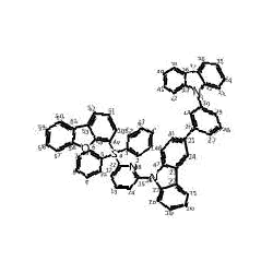 c1ccc(S(c2ccccc2)(c2cccc(-n3c4ccccc4c4cc(-c5cccc(-n6c7ccccc7c7ccccc76)c5)ccc43)n2)c2cccc3c2oc2ccccc23)cc1